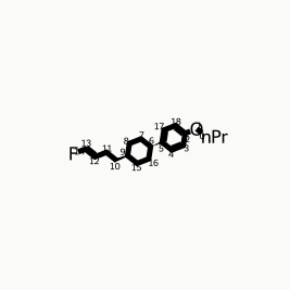 CCCOc1ccc([C@H]2CC[C@H](CCC=CF)CC2)cc1